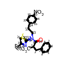 CCOC(=O)C(Cc1ccccc1)C(=O)N(CCc1ccc([N+](=O)[O-])cc1)c1nc(CC)cs1